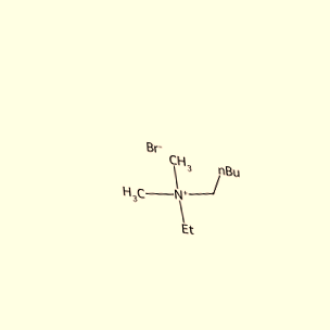 CCCCC[N+](C)(C)CC.[Br-]